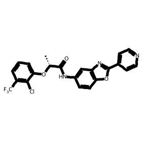 C[C@@H](Oc1cccc(C(F)(F)F)c1Cl)C(=O)Nc1ccc2oc(-c3ccncc3)nc2c1